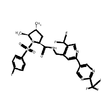 C[C@@H]1C[C@@H](C(=O)NCc2cc(-c3cnc(C(F)(F)I)nc3)ncc2C(F)F)N(S(=O)(=O)c2ccc(F)cc2)[C@H]1C